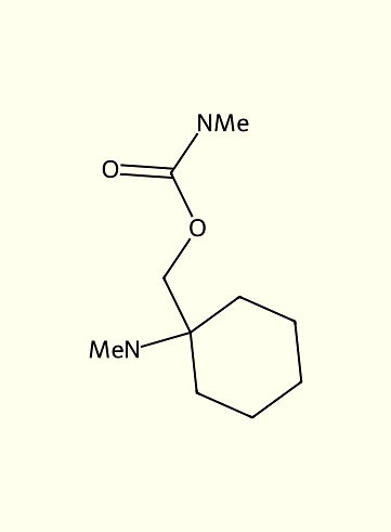 CNC(=O)OCC1(NC)CCCCC1